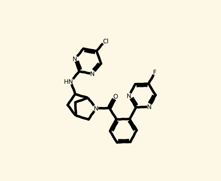 O=C(c1ccccc1-c1ncc(F)cn1)N1CC2CC(Nc3ncc(Cl)cn3)C1C2